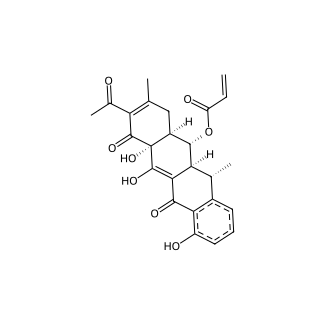 C=CC(=O)O[C@@H]1[C@@H]2C(=C(O)[C@@]3(O)C(=O)C(C(C)=O)=C(C)C[C@@H]13)C(=O)c1c(O)cccc1[C@H]2C